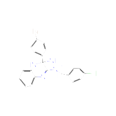 NC1(c2ccc(Br)cc2)Nc2ccccc2N=C1NCc1ccc(Cl)cc1